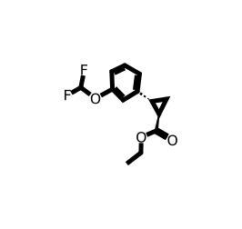 CCOC(=O)[C@@H]1C[C@H]1c1cccc(OC(F)F)c1